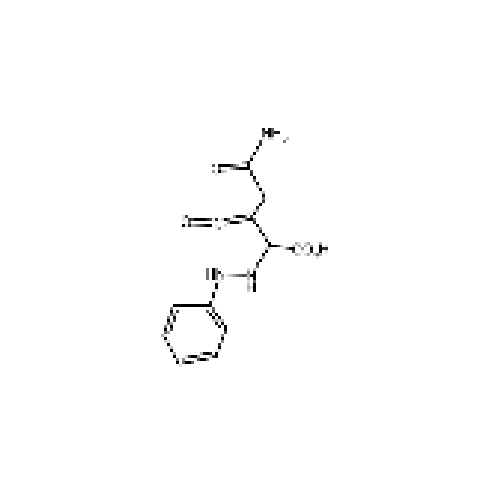 NC(=O)CC(=C=O)C(NNc1ccccc1)C(=O)O